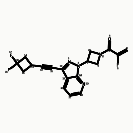 C=C(F)C(=O)N1CC(n2nc(C#CC3CC(F)(F)C3)c3cccnc32)C1